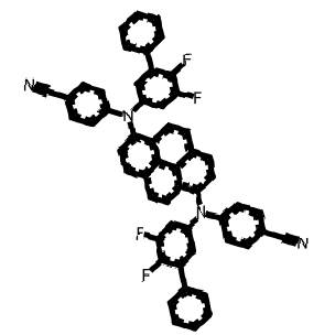 N#Cc1ccc(N(c2cc(F)c(F)c(-c3ccccc3)c2)c2ccc3ccc4c(N(c5ccc(C#N)cc5)c5cc(F)c(F)c(-c6ccccc6)c5)ccc5ccc2c3c54)cc1